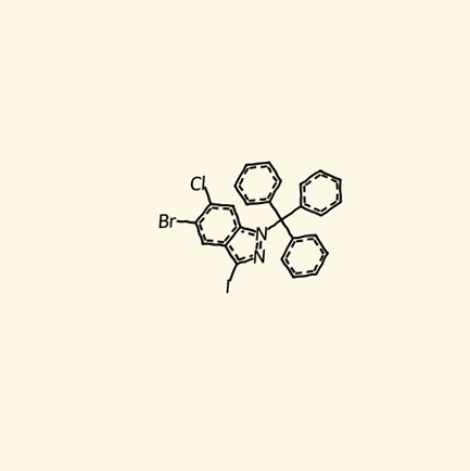 Clc1cc2c(cc1Br)c(I)nn2C(c1ccccc1)(c1ccccc1)c1ccccc1